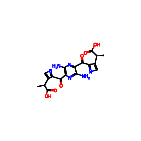 CC(C(=O)O)C1=CN=C1C(=O)c1nc(N)c(C(=O)C2=NC=C2[C@H](C)C(=O)O)nc1N